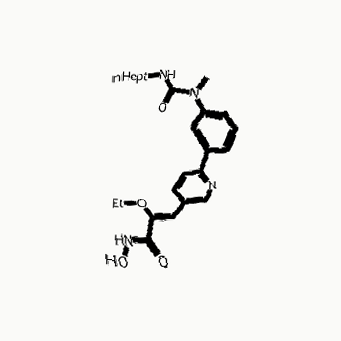 CCCCCCCNC(=O)N(C)c1cccc(-c2ccc(C=C(OCC)C(=O)NO)cn2)c1